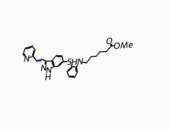 COC(=O)CCCCCNc1ccccc1Sc1ccc2c(/C=C/c3ccccn3)n[nH]c2c1